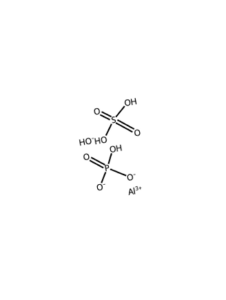 O=P([O-])([O-])O.O=S(=O)(O)O.[Al+3].[OH-]